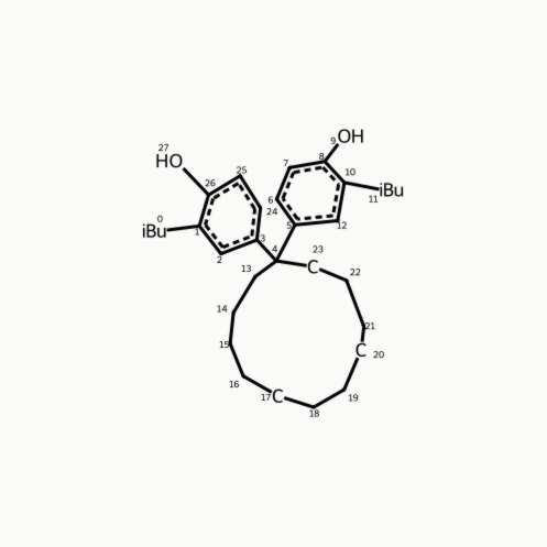 CCC(C)c1cc(C2(c3ccc(O)c(C(C)CC)c3)CCCCCCCCCCC2)ccc1O